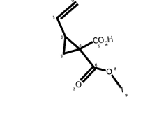 C=CC1CC1(C(=O)O)C(=O)OI